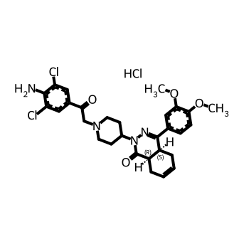 COc1ccc(C2=NN(C3CCN(CC(=O)c4cc(Cl)c(N)c(Cl)c4)CC3)C(=O)[C@@H]3CC=CC[C@H]23)cc1OC.Cl